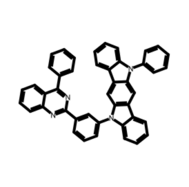 c1ccc(-c2nc(-c3cccc(-n4c5ccccc5c5cc6c(cc54)c4ccccc4n6-c4ccccc4)c3)nc3ccccc23)cc1